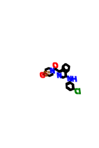 O=C(c1ncc(Nc2cccc(Cl)c2)c2c1C1CCC2C1)N1CC[S+]([O-])CC1